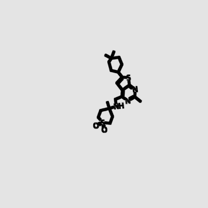 Cc1nc(CNC2(C)CCS(=O)(=O)CC2)c2cc(C3CCC(C)(C)CC3)sc2n1